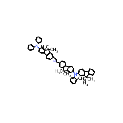 Cc1ccccc1N(c1ccc2c(c1)C(C)(C)c1ccccc1-2)c1ccc2c(c1)C(C)(C)c1cc(/C=C/c3ccc4c(c3)C(C)(C)c3cc(N(c5ccccc5)c5ccccc5)ccc3-4)ccc1-2